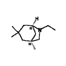 CCN1C[C@]2(C)C[C@H]1CC(C)(C)C2